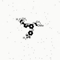 COC[C@H](C)Oc1cc(Oc2ccc(S(C)(=O)=O)cc2)cc(-c2ccc(C3=NCC(C)(C)O3)[nH]2)c1